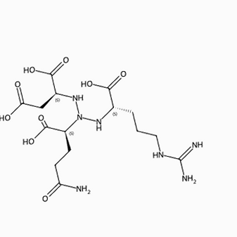 N=C(N)NCCC[C@H](NN(N[C@@H](CC(=O)O)C(=O)O)[C@@H](CCC(N)=O)C(=O)O)C(=O)O